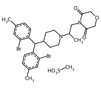 CS(=O)(=O)O.Cc1ccc(C(c2ccc(C)cc2Br)C2CCN(C(C)CN3C(=O)COCC3=O)CC2)c(Br)c1